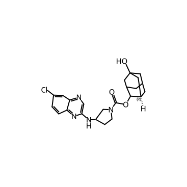 O=C(OC1C2CC3C[C@@H]1CC(O)(C3)C2)N1CCC(Nc2cnc3cc(Cl)ccc3n2)C1